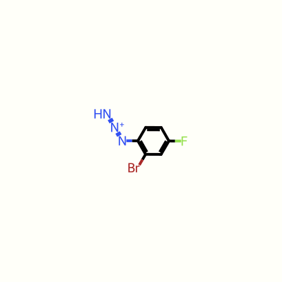 N=[N+]=Nc1ccc(F)cc1Br